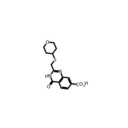 O=C(O)c1ccc2c(=O)[nH]c(CSC3CCOCC3)nc2c1